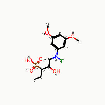 CCC(C(O)CN(F)c1cc(OC)cc(OC)c1)S(=O)(=O)O